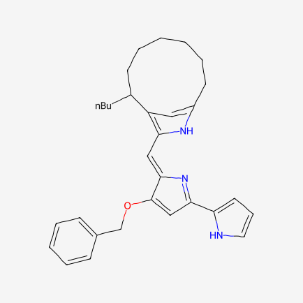 CCCCC1CCCCCCc2cc1c(/C=C1\N=C(c3ccc[nH]3)C=C1OCc1ccccc1)[nH]2